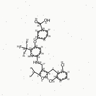 CC(C)c1onc(Cc2c(Cl)cccc2Cl)c1CNc1ccc(Oc2cccc(C(=O)O)c2)c(C(F)(F)F)n1